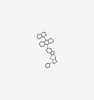 C1=C2SC=C(c3ccccc3)C2Cc2c1sc1cc(-c3c4ccccc4c(-c4cccc5ccccc45)c4ccccc34)ccc21